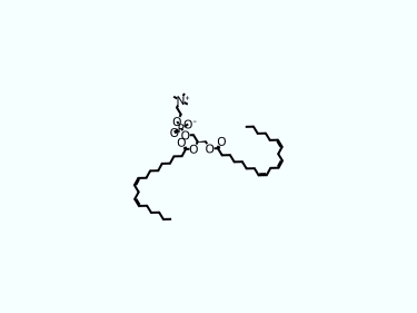 CCCCC/C=C\C/C=C\C/C=C\CCCCCCC(=O)OC[C@H](COP(=O)([O-])OCC[N+](C)(C)C)OC(=O)CCCCCCC/C=C\C/C=C\CCCCC